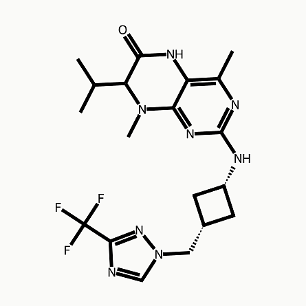 Cc1nc(N[C@H]2C[C@@H](Cn3cnc(C(F)(F)F)n3)C2)nc2c1NC(=O)C(C(C)C)N2C